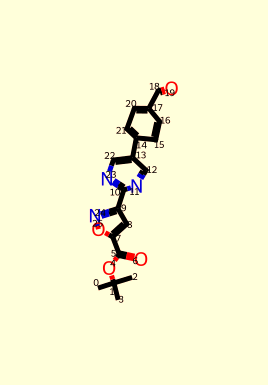 CC(C)(C)OC(=O)c1cc(-c2ncc(-c3ccc(C=O)cc3)cn2)no1